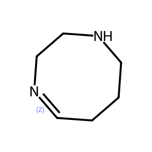 C1=N\CCNCCC/1